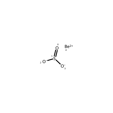 O=S([O-])[O-].[Be+2]